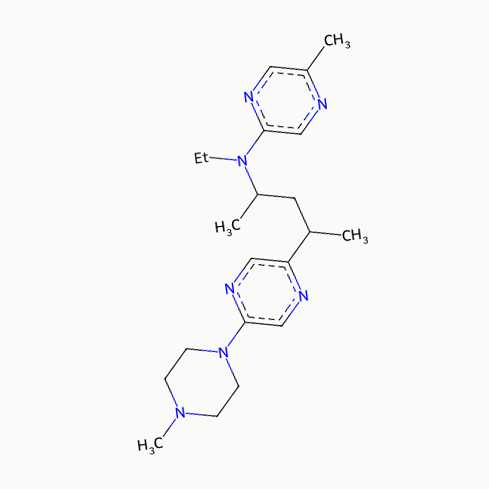 CCN(c1cnc(C)cn1)C(C)CC(C)c1cnc(N2CCN(C)CC2)cn1